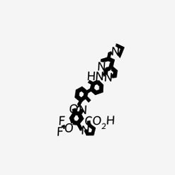 Cc1c(Nc2nccc3cc(CN4CCC4)cnc23)cccc1-c1cccc(-c2nc3cc(CN4CCCC4C(=O)O)c(OC(F)F)cc3o2)c1C